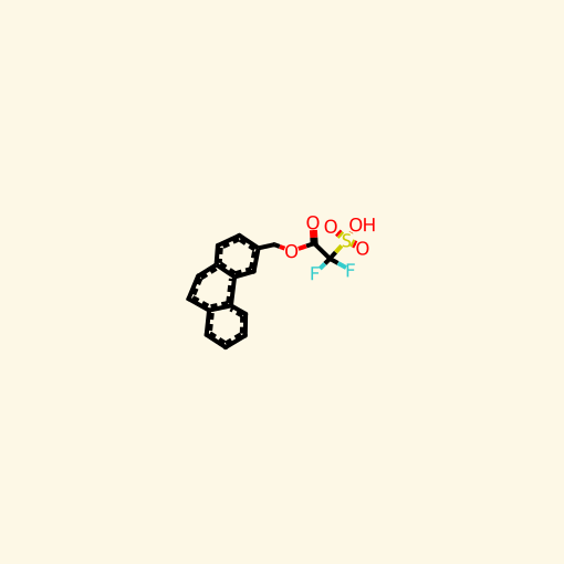 O=C(OCc1ccc2ccc3ccccc3c2c1)C(F)(F)S(=O)(=O)O